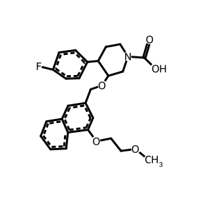 COCCOc1cc(COC2CN(C(=O)O)CCC2c2ccc(F)cc2)cc2ccccc12